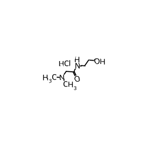 CN(C)CC(=O)NCCO.Cl